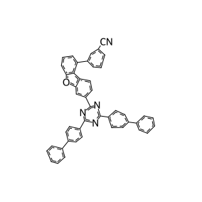 N#Cc1cccc(-c2cccc3oc4cc(-c5nc(-c6ccc(-c7ccccc7)cc6)nc(-c6ccc(-c7ccccc7)cc6)n5)ccc4c23)c1